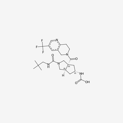 CC(C)(C)CNC(=O)N1C[C@@H]2C[C@@H](NC(=O)O)C[C@]2(C(=O)N2CCc3ncc(C(F)(F)F)cc3C2)C1